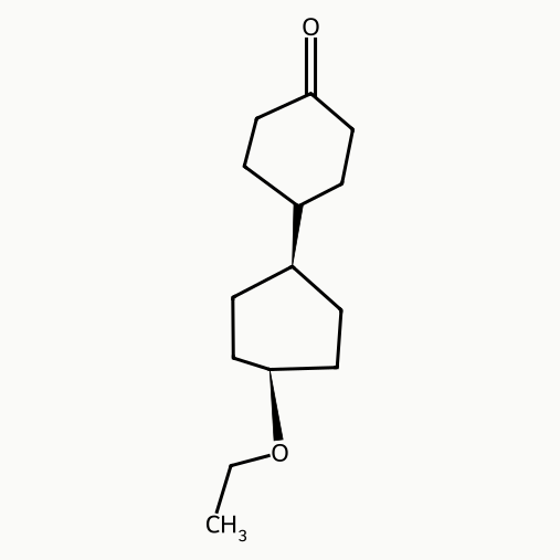 CCO[C@H]1CC[C@@H](C2CCC(=O)CC2)CC1